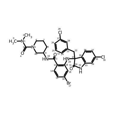 CN(C)C(=O)N1CCCC(NC(=O)c2ccc(Br)cc2NC2(Cc3cccc(Cl)c3)C(=O)Nc3cc(Cl)ccc32)C1